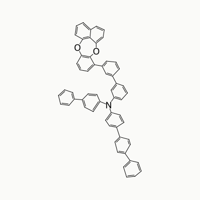 c1ccc(-c2ccc(-c3ccc(N(c4ccc(-c5ccccc5)cc4)c4cccc(-c5cccc(-c6cccc7c6Oc6cccc8cccc(c68)O7)c5)c4)cc3)cc2)cc1